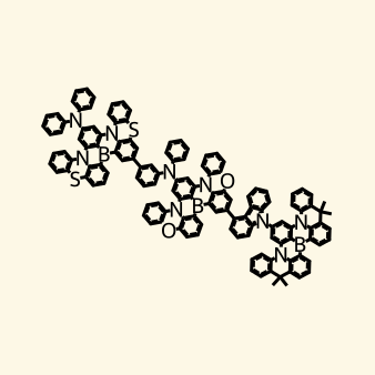 CC1(C)c2ccccc2N2c3cc(-n4c5ccccc5c5c(-c6cc7c8c(c6)B6c9cccc%10c9N(c9ccccc9O%10)c9cc(N(c%10ccccc%10)c%10cccc(-c%11cc%12c%13c(c%11)B%11c%14cccc%15c%14N(c%14ccccc%14S%15)c%14cc(N(c%15ccccc%15)c%15ccccc%15)cc(c%14%11)N%13c%11ccccc%11S%12)c%10)cc(c96)N8c6ccccc6O7)cccc54)cc4c3B(c3cccc1c32)c1cccc2c1N4c1ccccc1C2(C)C